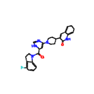 O=C(C1C=C(N2CCC(c3cc4c([nH]c3=O)=CCCC=4)CC2)N=CN1)N1CCc2c(F)cccc21